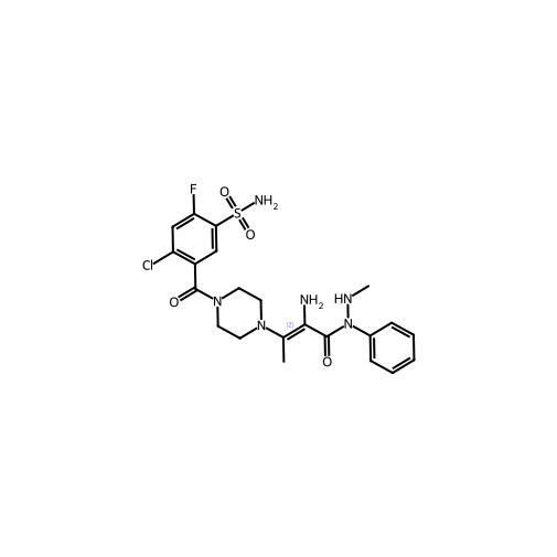 CNN(C(=O)/C(N)=C(\C)N1CCN(C(=O)c2cc(S(N)(=O)=O)c(F)cc2Cl)CC1)c1ccccc1